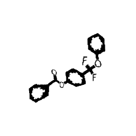 O=C(Oc1ccc(C(F)(F)Oc2ccccc2)cc1)c1ccccc1